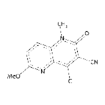 COc1ccc2c(n1)c(Cl)c(C#N)c(=O)n2C